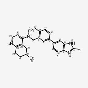 CCCN(Cc1cc(-c2cnc3nc(C)[nH]c3c2)ccc1C)c1ncnc2c1CC(CC)CC2